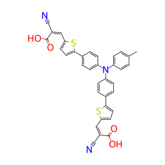 Cc1ccc(N(c2ccc(-c3ccc(/C=C(/C#N)C(=O)O)s3)cc2)c2ccc(-c3ccc(/C=C(/C#N)C(=O)O)s3)cc2)cc1